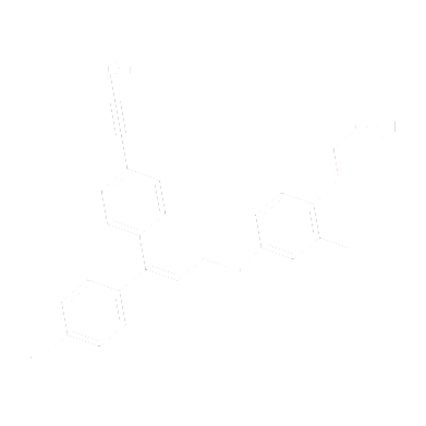 Cc1cc(OCC=C(c2ccc(Cl)cc2)c2ccc(C#CC(C)(C)C)cc2)ccc1OCC(=O)O